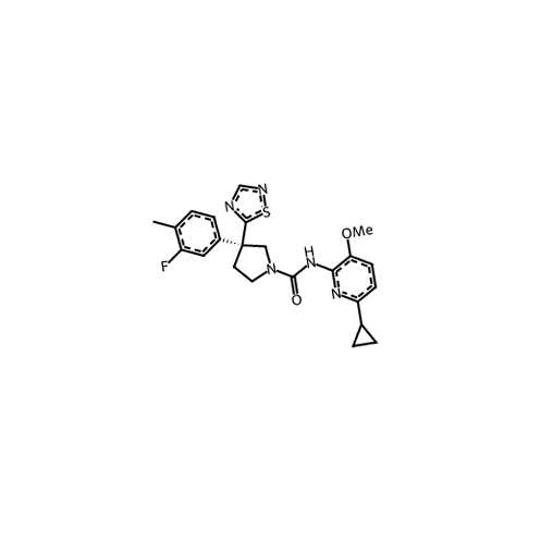 COc1ccc(C2CC2)nc1NC(=O)N1CC[C@@](c2ccc(C)c(F)c2)(c2ncns2)C1